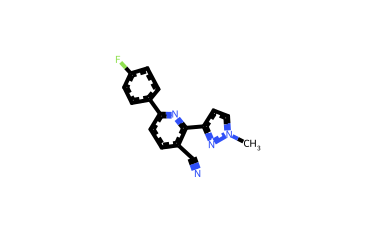 Cn1ccc(-c2nc(-c3ccc(F)cc3)ccc2C#N)n1